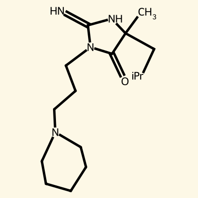 CC(C)CC1(C)NC(=N)N(CCCN2CCCCC2)C1=O